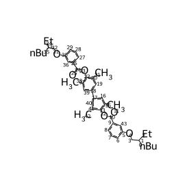 CCCCC(CC)COc1cccc(C(=O)Oc2c(C)cc(-c3cc(C)c(OC(=O)c4cccc(OCC(CC)CCCC)c4)c(C)c3)cc2C)c1